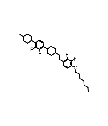 CCCCCCCOc1ccc(CCC2CCC(c3ccc(C4CCC(C)CC4)c(F)c3F)CC2)c(F)c1F